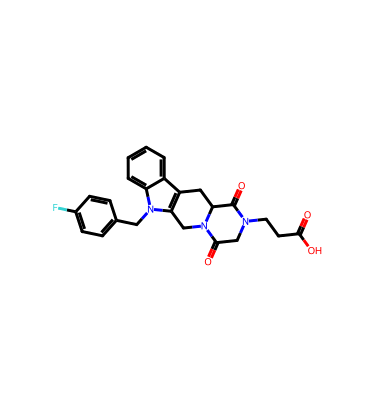 O=C(O)CCN1CC(=O)N2Cc3c(c4ccccc4n3Cc3ccc(F)cc3)CC2C1=O